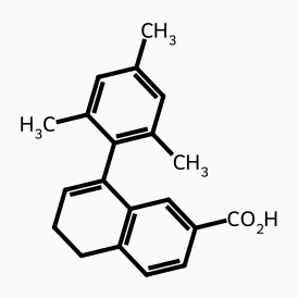 Cc1cc(C)c(C2=CCCc3ccc(C(=O)O)cc32)c(C)c1